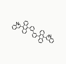 c1cc(-c2cccc(-c3c4ccccc4c(-c4cnc5ccccc5c4)c4ccccc34)c2)cc(-c2c3ccccc3c(-c3cnc4ccccc4c3)c3ccccc23)c1